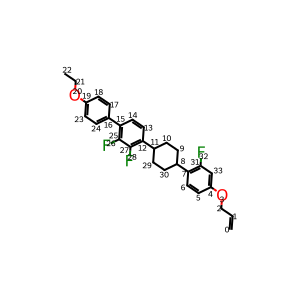 C=CCOc1ccc(C2CCC(c3ccc(-c4ccc(OCC)cc4)c(F)c3F)CC2)c(F)c1